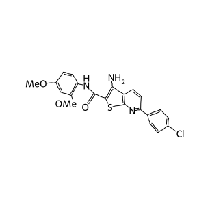 COc1ccc(NC(=O)c2sc3nc(-c4ccc(Cl)cc4)ccc3c2N)c(OC)c1